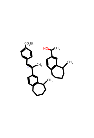 CC(O)c1ccc2c(c1)C(C)CCCC2.CCOC(=O)c1ccc(/C=C(\C)c2ccc3c(c2)C(C)CCCC3)cc1